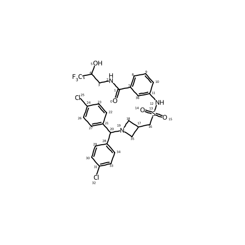 O=C(NCC(O)C(F)(F)F)c1cccc(NS(=O)(=O)CC2CN(C(c3ccc(Cl)cc3)c3ccc(Cl)cc3)C2)c1